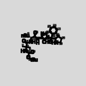 CCCC[C@@H](NC(=O)C(C)(C)NC(=O)OC(C)(C)C)C(=O)Nc1cn(C(C=O)(c2ccccc2)C2CCCN2)cn1